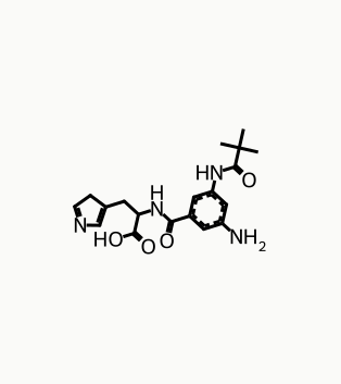 CC(C)(C)C(=O)Nc1cc(N)cc(C(=O)NC(CC2=CN=CC2)C(=O)O)c1